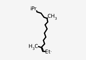 C[CH]C=C(C)CCCCCCCC(C)CCCC(C)C